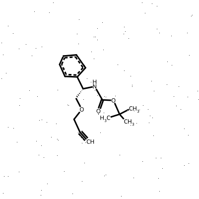 C#CCOC[C@@H](NC(=O)OC(C)(C)C)c1ccccc1